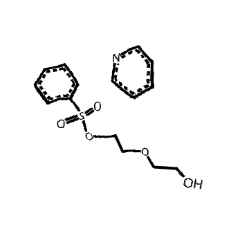 O=S(=O)(OCCOCCO)c1ccccc1.c1ccncc1